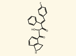 O=C(C(=Cc1ccc(F)cc1)c1ccccc1)N(O)C(=O)c1cccc2c1CCN2